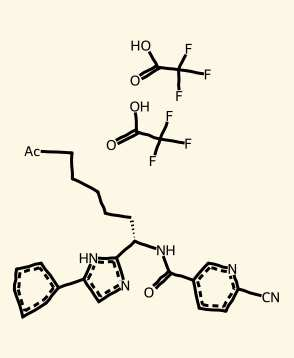 CC(=O)CCCCC[C@H](NC(=O)c1ccc(C#N)nc1)c1ncc(-c2ccccc2)[nH]1.O=C(O)C(F)(F)F.O=C(O)C(F)(F)F